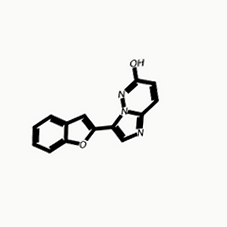 Oc1ccc2ncc(-c3cc4ccccc4o3)n2n1